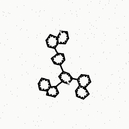 c1ccc2c(-c3cc(-c4ccc(-c5cccc6ncccc56)cc4)cc(-c4cccc5ccccc45)n3)cccc2c1